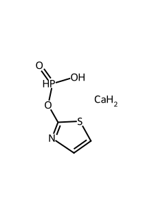 O=[PH](O)Oc1nccs1.[CaH2]